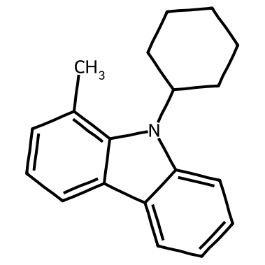 Cc1cccc2c3ccccc3n(C3CCCCC3)c12